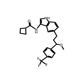 COC(CCc1ccc2[nH]cc(NC(=O)C3CCC3)c2c1)c1ccc(C(F)(F)F)cc1